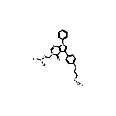 COCCOc1ccc(-c2cn(-c3ccccc3)c3ncn(COP(O)O)c(=O)c23)cc1